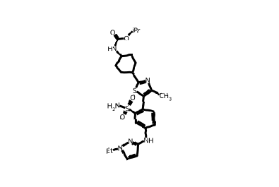 CCn1ccc(Nc2ccc(-c3sc(C4CCC(NC(=O)OC(C)C)CC4)nc3C)c(S(N)(=O)=O)c2)n1